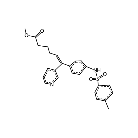 COC(=O)CCC/C=C(/c1ccc(NS(=O)(=O)c2ccc(C)cc2)cc1)c1cccnc1